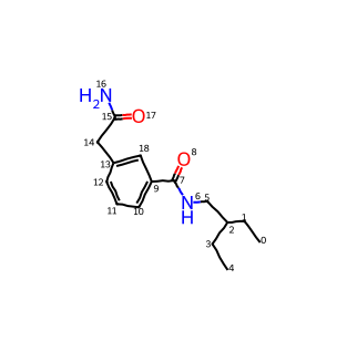 CCC(CC)CNC(=O)c1cccc(CC(N)=O)c1